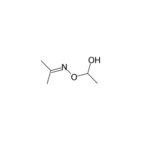 CC(C)=NOC(C)O